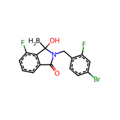 BC1(O)c2c(F)cccc2C(=O)N1Cc1ccc(Br)cc1F